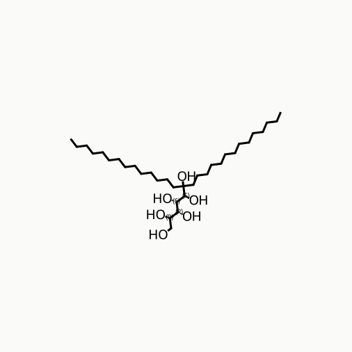 CCCCCCCCCCCCCCC(O)(CCCCCCCCCCCCCC)[C@@H](O)[C@@H](O)[C@H](O)[C@H](O)CO